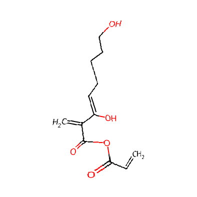 C=CC(=O)OC(=O)C(=C)C(O)=CCCCCO